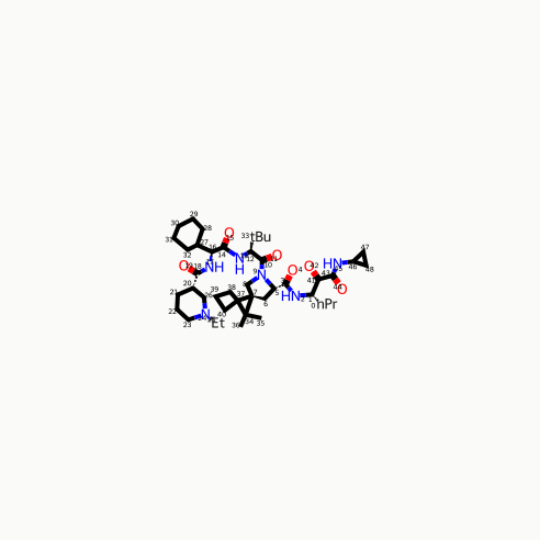 CCC[C@H](NC(=O)[C@@H]1C[C@@]2(CN1C(=O)[C@@H](NC(=O)[C@@H](NC(=O)[C@H]1CCCN(CC)C1)C1CCCCC1)C(C)(C)C)C(C)(C)C21CCC1)C(=O)C(=O)NC1CC1